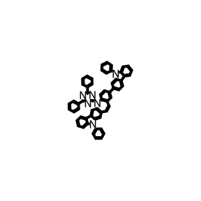 C1=Cc2cc3c(cc2N(c2nc(-c4ccccc4)nc(-c4ccccc4)n2)c2ccc(-c4ccc5c6ccccc6n(-c6ccccc6)c5c4)cc21)c1ccccc1n3-c1ccccc1